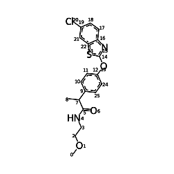 COCCNC(=O)C(C)c1ccc(Oc2nc3ccc(Cl)cc3s2)cc1